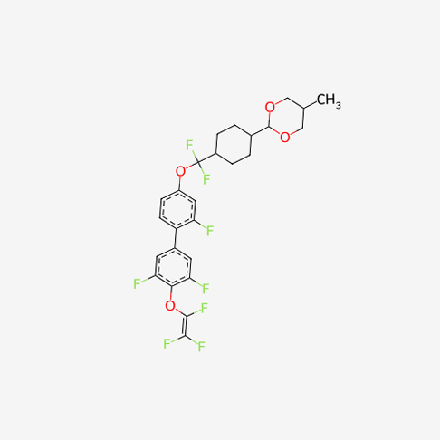 CC1COC(C2CCC(C(F)(F)Oc3ccc(-c4cc(F)c(OC(F)=C(F)F)c(F)c4)c(F)c3)CC2)OC1